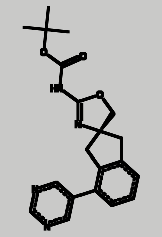 CC(C)(C)OC(=O)NC1=N[C@]2(CO1)Cc1cccc(-c3cncnc3)c1C2